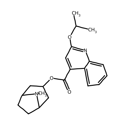 CC(C)Oc1cc(C(=O)OC2CC3CCC(C2)N3C)c2ccccc2n1